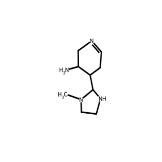 CN1CCNC1C1CC=NCC1N